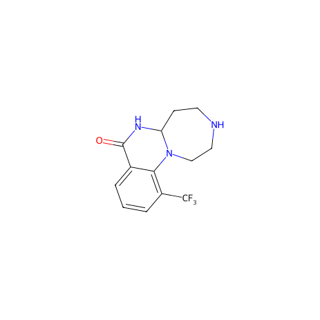 O=C1NC2CCNCCN2c2c1cccc2C(F)(F)F